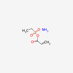 C=CC(=O)OS(=O)(=O)CC.N